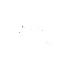 CCCCCC[Si]1(CC(CC)CCCC)c2cc(C)sc2-c2sc(-c3sc(C)c4c3C(=O)N(CCCCc3ccccc3)C4=O)cc21